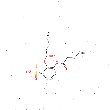 C=CCCC(=O)Oc1cccc(S(=O)(=O)O)c1OC(=O)CCC=C